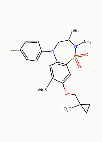 CCCCC1CN(c2ccc(F)cc2)c2cc(SC)c(OCC3(C(=O)O)CC3)cc2S(=O)(=O)N1C